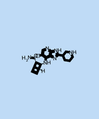 NC(=O)[C@H]1C2C=C[C@@H]2[C@H]1Nc1c(Cl)cnc2[nH]c(C3CCCNC3)nc12